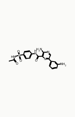 CC(=O)NS(=O)(=O)c1ccc(NC(=O)c2nc(-c3cccc(N)c3)cnc2N)cc1